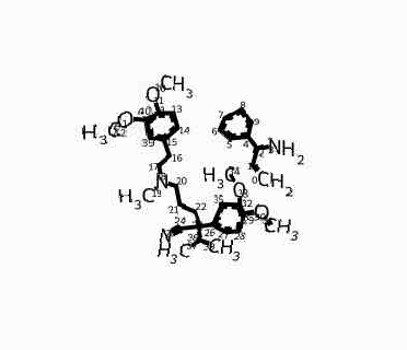 C=CC(N)c1ccccc1.COc1ccc(CCN(C)CCCC(C#N)(c2ccc(OC)c(OC)c2)C(C)C)cc1OC